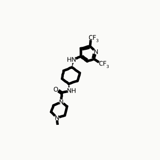 CN1CCN(C(=O)N[C@H]2CC[C@@H](Nc3cc(C(F)(F)F)nc(C(F)(F)F)c3)CC2)CC1